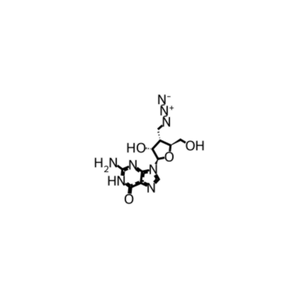 [N-]=[N+]=NC[C@H]1[C@@H](O)[C@H](n2cnc3c(=O)[nH]c(N)nc32)O[C@@H]1CO